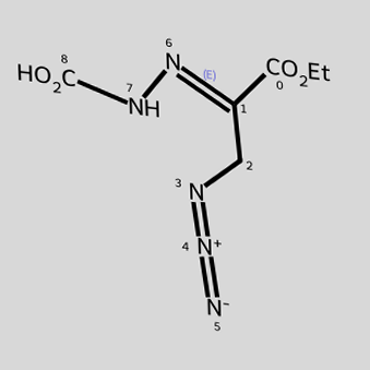 CCOC(=O)/C(CN=[N+]=[N-])=N/NC(=O)O